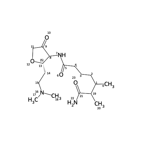 CC(CC[CH]C(=O)NC1C(=O)CO[C@H]1CCN(C)C)C(C)C(N)=O